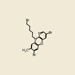 Cc1cc2c(cc1Br)Oc1cc(Br)cnc1N2CCCCCBr